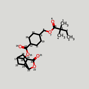 CCC(C)(C)C(=O)OCC1CCC(C(=O)OC2C3CC4C(=O)OC2C4C3)CC1